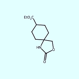 CCOC(=O)C1CCC2(CC1)COC(=O)N2